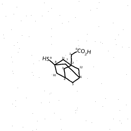 O=C(O)CC12CC3CC(CC(S)(C3)C1)C2